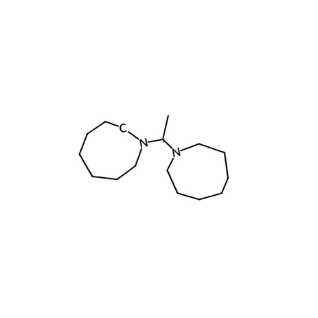 C[C](N1CCCCCCC1)N1CCCCCCC1